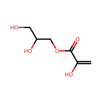 C=C(O)C(=O)OCC(O)CO